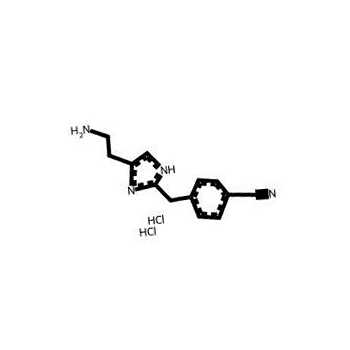 Cl.Cl.N#Cc1ccc(Cc2nc(CCN)c[nH]2)cc1